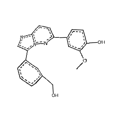 COc1cc(-c2ccc3ncc(-c4cccc(CO)c4)n3n2)ccc1O